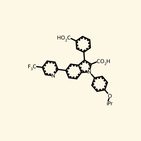 CC(C)Oc1ccc(-n2c(C(=O)O)c(-c3cccc(C(=O)O)c3)c3cc(-c4ccc(C(F)(F)F)cn4)ccc32)cc1